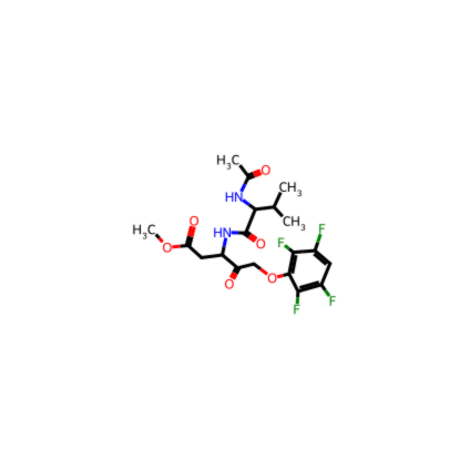 COC(=O)CC(NC(=O)C(NC(C)=O)C(C)C)C(=O)COc1c(F)c(F)cc(F)c1F